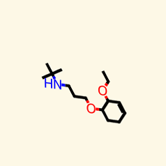 CCOC1C=CCCC1OCCCNC(C)(C)C